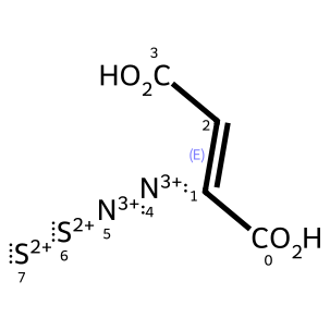 O=C(O)/C=C/C(=O)O.[N+3].[N+3].[S+2].[S+2]